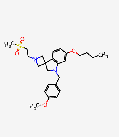 CCCCOc1ccc2c(c1)N(Cc1ccc(OC)cc1)CC21CN(CCS(C)(=O)=O)C1